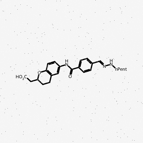 CCCCCNN=Cc1ccc(C(=O)Nc2ccc3c(c2)CCC(CC(=O)O)O3)cc1